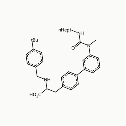 CCCCCCCNC(=O)N(C)c1cccc(-c2ccc(CC(NCc3ccc(C(C)(C)C)cc3)C(=O)O)cc2)c1